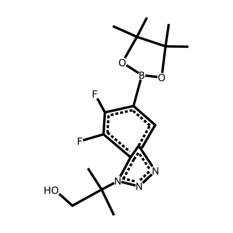 CC(C)(CO)n1nnc2cc(B3OC(C)(C)C(C)(C)O3)c(F)c(F)c21